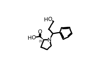 O=C(O)[C@@H]1CCCN1C(CCO)c1ccccc1